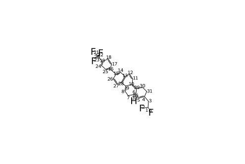 FC(F)CC1=C[C@H]2CC=c3c(ccc4cc(-c5ccc(C(F)(F)F)cc5)ccc34)=C2CC1